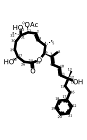 CC(=O)O[C@@H]1/C=C/[C@H](C)[C@@H](/C(C)=C/C=C/[C@](C)(O)CCc2ccccc2)OC(=O)C[C@H](O)CC[C@@]1(C)O